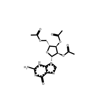 CC(=O)OC[C@H]1O[C@@H](n2cnc3c(=O)nc(N)[nH]c32)[C@H](OC(C)=O)[C@@H]1OC(C)=O